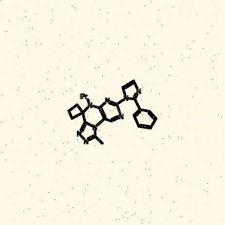 Cc1nnc2n1-c1cnc(-n3ccnc3-c3ccccc3)nc1N(C(C)C)C21CCC1